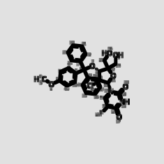 COc1ccc(C(O[C@H]2[C@H](Cl)[C@H](n3cc(F)c(=O)[nH]c3=O)OC2(CO)CO)(c2ccccc2)c2ccccc2)cc1